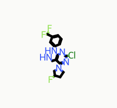 N=Cc1c(Nc2cccc(C(F)F)c2)nc(Cl)nc1N1CCC(F)C1